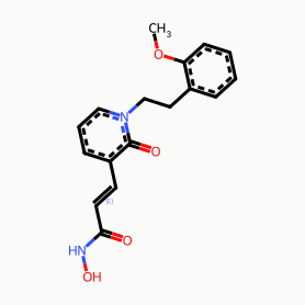 COc1ccccc1CCn1cccc(/C=C/C(=O)NO)c1=O